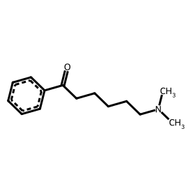 CN(C)CCCCCC(=O)c1ccccc1